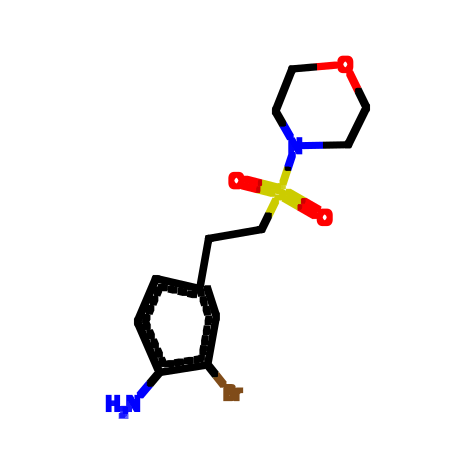 Nc1ccc(CCS(=O)(=O)N2CCOCC2)cc1Br